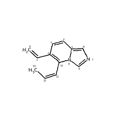 C=Cc1ccc2cncn2c1/C=C\C